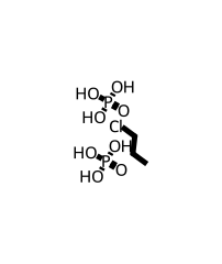 CCCCl.O=P(O)(O)O.O=P(O)(O)O